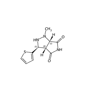 CN1N[C@H](c2cccs2)[C@H]2C(=O)NC(=O)[C@H]21